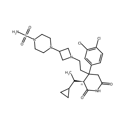 CC(C1CC1)[C@@H]1C(=O)NC(=O)CC1(CCN1CC(N2CCN(S(N)(=O)=O)CC2)C1)c1ccc(Cl)c(Cl)c1